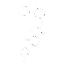 Cc1cn(-c2ccc3n(c2=O)CCN(Cc2ccc(C)c(N4CCCCC4)c2)C3=O)cn1